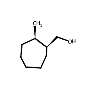 C[C@@H]1CCCCC[C@@H]1CO